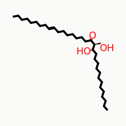 CCCCCCCCC=CCCCCCCCC(=O)[C@@H](CO)[C@H](O)CCCCCCCCCCCCC